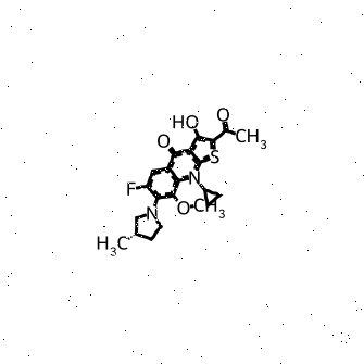 COc1c(N2CC[C@H](C)C2)c(F)cc2c(=O)c3c(O)c(C(C)=O)sc3n(C3CC3)c12